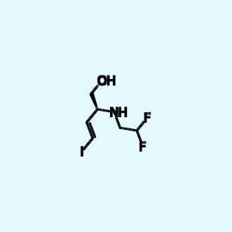 OC[C@H](C=CI)NCC(F)F